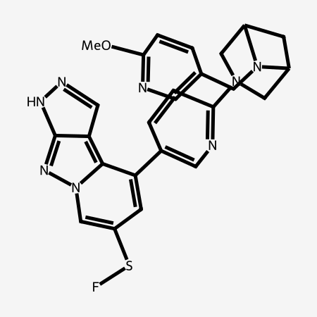 COc1ccc(CN2C3CC2CN(c2ccc(-c4cc(SF)cn5nc6[nH]ncc6c45)cn2)C3)cn1